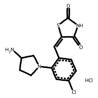 Cl.NC1CCN(c2cc(Cl)ccc2C=C2SC(=O)NC2=O)C1